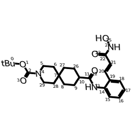 CC(C)(C)OC(=O)N1CCC2(CCC(C(=O)Nc3ccccc3/C=C/C(=O)NO)CC2)CC1